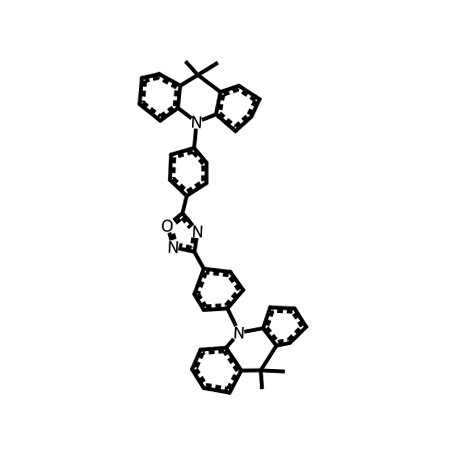 CC1(C)c2ccccc2N(c2ccc(-c3noc(-c4ccc(N5c6ccccc6C(C)(C)c6ccccc65)cc4)n3)cc2)c2ccccc21